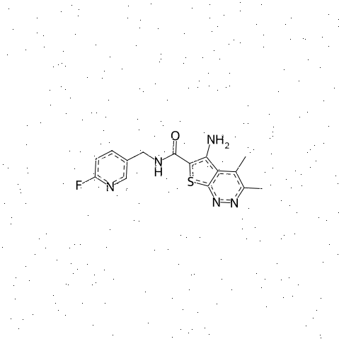 Cc1nnc2sc(C(=O)NCc3ccc(F)nc3)c(N)c2c1C